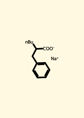 CCCCC(Cc1ccccc1)C(=O)[O-].[Na+]